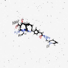 CCN1CCC[C@@H]1CNC(=O)Cc1ccc(-c2ccc3c(=O)c(C(=O)NC)c(N)n(CC(C)C)c3n2)cc1